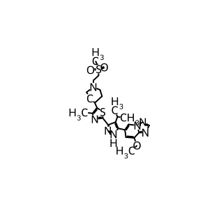 COc1cc(-c2[nH]nc(-c3nc(C)c(C4CCN(CCS(C)(=O)=O)CC4)s3)c2C(C)C)cn2ncnc12